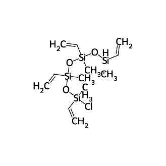 C=C[SiH](C)O[Si](C)(C=C)O[Si](C)(C=C)O[Si](C)(Cl)C=C